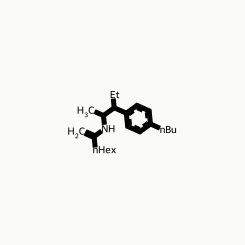 C=C(CCCCCC)NC(C)C(CC)c1ccc(CCCC)cc1